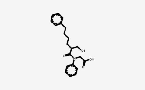 O=C(O)CN(C(=O)C(CS)CCCCc1ccccc1)c1ccccc1